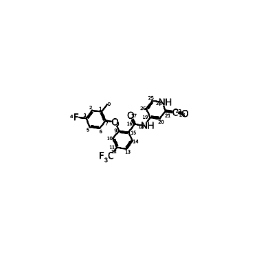 Cc1cc(F)ccc1Oc1cc(C(F)(F)F)ccc1C(=O)NC1=CC(=C=O)NC=C1